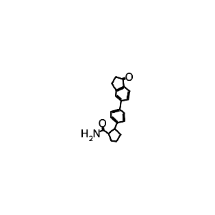 NC(=O)C1CCCC1c1ccc(-c2ccc3c(c2)CCC3=O)cc1